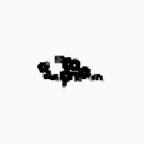 CCN(Cc1ccc(OCCN(C)C[C@H]2CCCO2)c(F)c1)c1cc(OC)ccc1[C@@H]1CCc2cc(O)ccc2C1